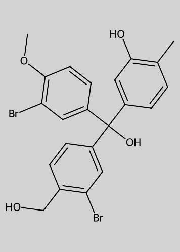 COc1ccc(C(O)(c2ccc(C)c(O)c2)c2ccc(CO)c(Br)c2)cc1Br